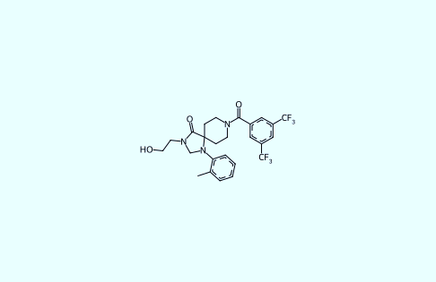 Cc1ccccc1N1CN(CCO)C(=O)C12CCN(C(=O)c1cc(C(F)(F)F)cc(C(F)(F)F)c1)CC2